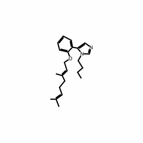 CCCCn1cncc1-c1ccccc1OC/C=C(\C)CCC=C(C)C